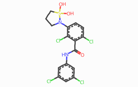 O=C(Nc1cc(Cl)cc(Cl)c1)c1c(Cl)ccc(N2CCCS2(O)O)c1Cl